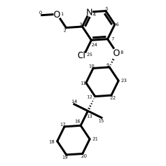 COCc1nccc(O[C@H]2CC[C@@H](C(C)(C)C3CCCCC3)CC2)c1Cl